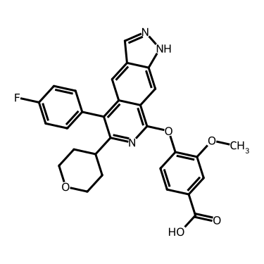 COc1cc(C(=O)O)ccc1Oc1nc(C2CCOCC2)c(-c2ccc(F)cc2)c2cc3cn[nH]c3cc12